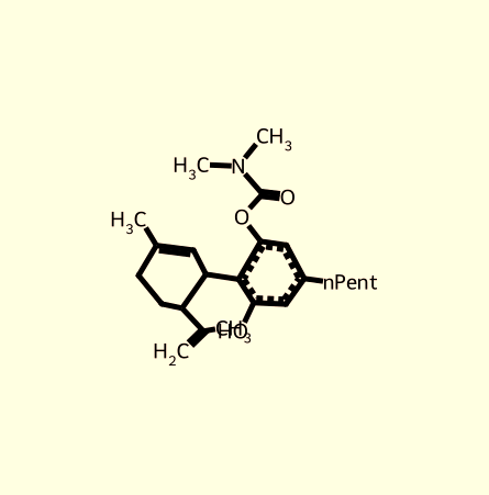 C=C(C)C1CCC(C)=CC1c1c(O)cc(CCCCC)cc1OC(=O)N(C)C